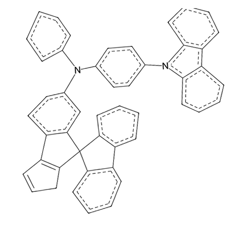 C1=CC2=C(C1)C1(c3cc(N(c4ccccc4)c4ccc(-n5c6ccccc6c6ccccc65)cc4)ccc32)c2ccccc2-c2ccccc21